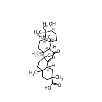 CC1(C(=O)O)CCC2(C)CCC3(C)C(=CC(=O)[C@@H]4[C@@]5(C)CC[C@H](O)C(C)(C)[C@@H]5CC[C@]43C)[C@@H]2C1